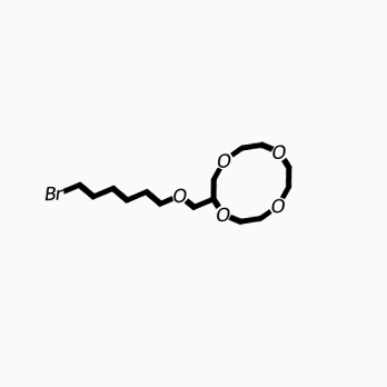 BrCCCCCCOCC1COCCOCCOCCO1